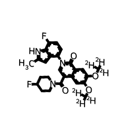 [2H]C([2H])([2H])Oc1cc2c(C(=O)N3CCC(F)CC3)cn(-c3ccc(F)c4[nH]c(C)cc34)c(=O)c2cc1OC([2H])([2H])[2H]